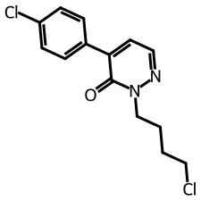 O=c1c(-c2ccc(Cl)cc2)ccnn1CCCCCl